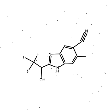 Cc1cc2[nH]c(C(O)C(F)(F)F)nc2cc1C#N